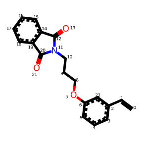 C=Cc1cccc(OCCCN2C(=O)c3ccccc3C2=O)c1